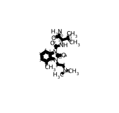 Cc1cccc2c1n(CCN(C)C)c(=O)n2C(=O)N[C@H](C(N)=O)C(C)C